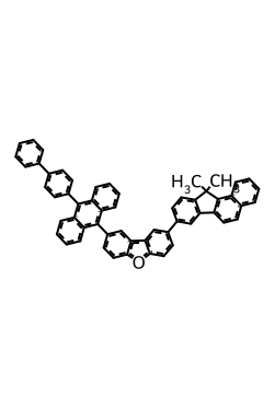 CC1(C)c2ccc(-c3ccc4oc5ccc(-c6c7ccccc7c(-c7ccc(-c8ccccc8)cc7)c7ccccc67)cc5c4c3)cc2-c2ccc3ccccc3c21